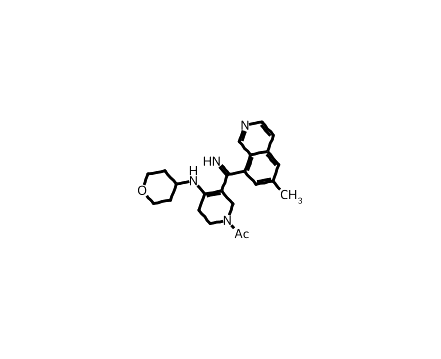 CC(=O)N1CCC(NC2CCOCC2)=C(C(=N)c2cc(C)cc3ccncc23)C1